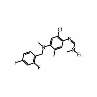 CCN(C)/C=N\c1cc(C)c(N(C)Cc2ccc(F)cc2F)cc1Cl